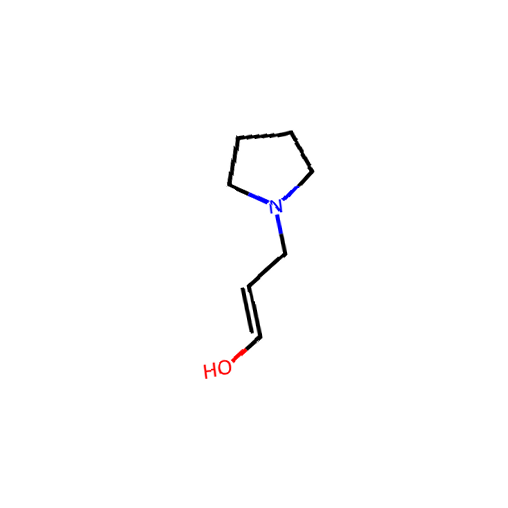 OC=CCN1CCCC1